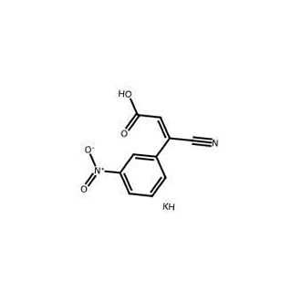 N#C/C(=C/C(=O)O)c1cccc([N+](=O)[O-])c1.[KH]